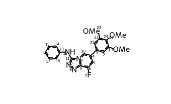 COc1cc(-c2cc(F)c3nnc(Nc4ccccc4)n3c2)cc(OC)c1OC